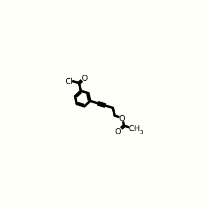 CC(=O)OCCC#Cc1cccc(C(=O)Cl)c1